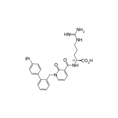 CC(C)c1ccc(-c2ccccc2Cn2cccc(C(=O)N[C@@H](CCCNC(=N)N)C(=O)O)c2=O)cc1